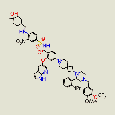 COc1ccc(CN2CCN(C3CC4(CCN(c5ccc(C(=O)NS(=O)(=O)c6ccc(NCC7CCC(C)(O)CC7)c([N+](=O)[O-])c6)c(Oc6cnc7[nH]ccc7c6)c5)CC4)C3)C(c3ccccc3C(C)C)C2)cc1OC(F)(F)F